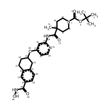 CC(C)(C)OC(=O)N1CCC(C)(C(=O)Nc2cc(OC3CCc4cc(C(=O)NO)ccc4C3)ccn2)CC1